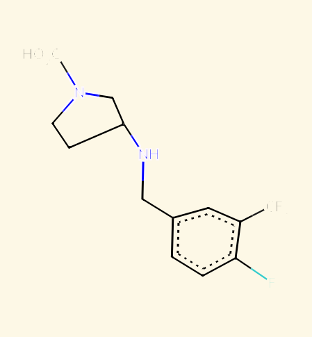 O=C(O)N1CCC(NCc2ccc(F)c(C(F)(F)F)c2)C1